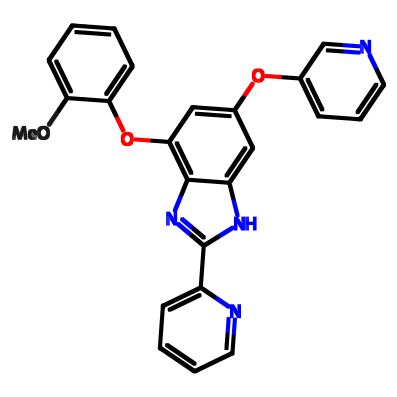 COc1ccccc1Oc1cc(Oc2cccnc2)cc2[nH]c(-c3ccccn3)nc12